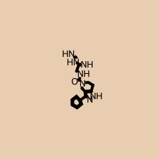 N=CNC(=N)CNC(=O)N1CCc2[nH]nc(-c3ccccc3)c2C1